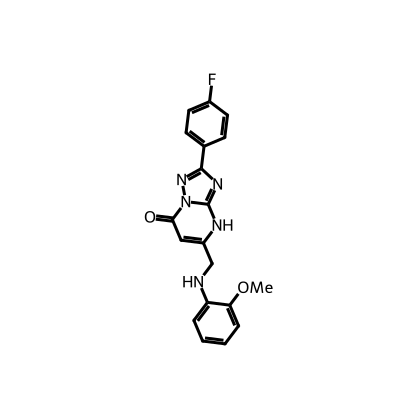 COc1ccccc1NCc1cc(=O)n2nc(-c3ccc(F)cc3)nc2[nH]1